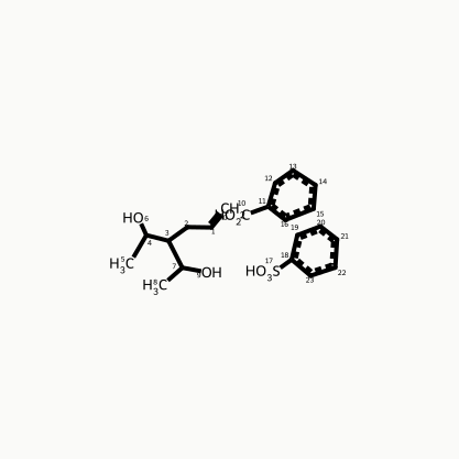 C=CCC(C(C)O)C(C)O.O=C(O)c1ccccc1.O=S(=O)(O)c1ccccc1